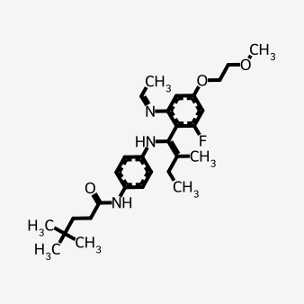 C/C=N\c1cc(OCCOC)cc(F)c1/C(Nc1ccc(NC(=O)CCC(C)(C)C)cc1)=C(\C)CC